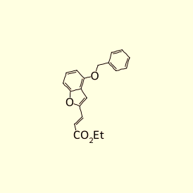 CCOC(=O)/C=C/c1cc2c(OCc3ccccc3)cccc2o1